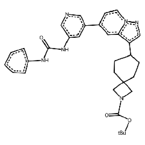 CC(C)(C)OC(=O)N1CC2(CCC(c3cnn4ccc(-c5cncc(NC(=O)Nc6ccccc6)c5)cc34)CC2)C1